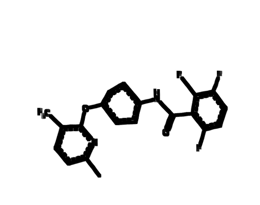 Cc1ccc(C(F)(F)F)c(Oc2ccc(NC(=O)c3c(F)ccc(F)c3F)cc2)n1